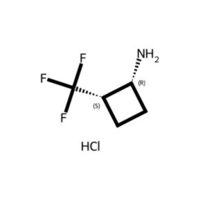 Cl.N[C@@H]1CC[C@@H]1C(F)(F)F